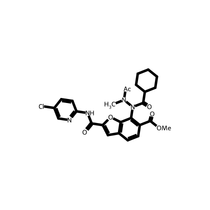 COC(=O)c1ccc2cc(C(=O)Nc3ccc(Cl)cn3)oc2c1N(C(=O)C1CCCCC1)N(C)C(C)=O